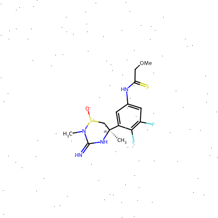 COCC(=S)Nc1cc(F)c(F)c([C@]2(C)C[S+]([O-])N(C)C(=N)N2)c1